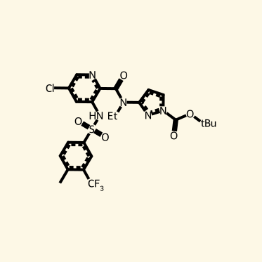 CCN(C(=O)c1ncc(Cl)cc1NS(=O)(=O)c1ccc(C)c(C(F)(F)F)c1)c1ccn(C(=O)OC(C)(C)C)n1